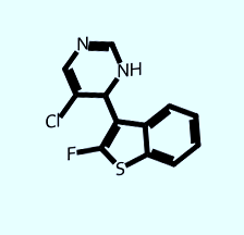 Fc1sc2ccccc2c1C1NC=NC=C1Cl